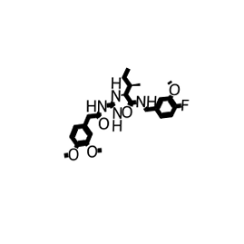 CC[C@@H](C)[C@@H](NC(=N)NC(=O)Cc1ccc(OC)c(OC)c1)C(=O)NCc1ccc(F)c(OC)c1